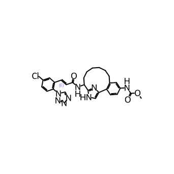 COC(=O)Nc1ccc2c(c1)CCCCCCC(NC(=O)/C=C/c1cc(Cl)ccc1-n1cnnn1)c1nc-2c[nH]1